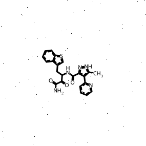 Cc1[nH]nc(C(=O)NC(Cc2csc3ccccc23)C(=O)C(N)=O)c1-c1ccccn1